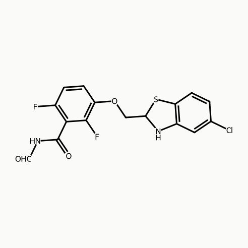 O=CNC(=O)c1c(F)ccc(OCC2Nc3cc(Cl)ccc3S2)c1F